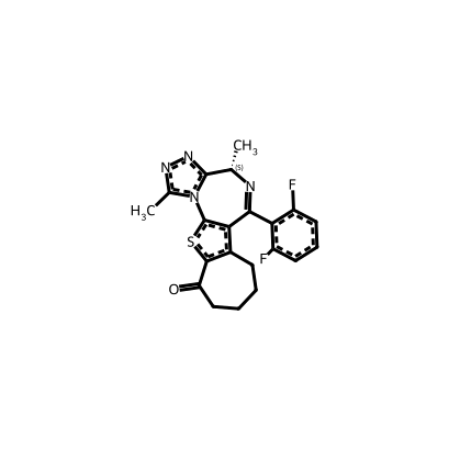 Cc1nnc2n1-c1sc3c(c1C(c1c(F)cccc1F)=N[C@H]2C)CCCCC3=O